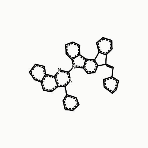 C(=C1\c2ccccc2-c2c1ccc1c2c2ccccc2n1-c1nc(-c2ccccc2)c2ccc3ccccc3c2n1)/c1ccccc1